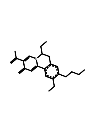 C=C(C)C1=CN2C(=CC1=C)c1cc(CC)c(CCCC)cc1CC2CC